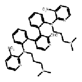 CN(C)CCCN(c1ccccc1-c1ccnc(C=O)c1-c1ccccc1N(CCCN(C)C)c1ncccc1[N+](=O)[O-])c1ncccc1[N+](=O)[O-]